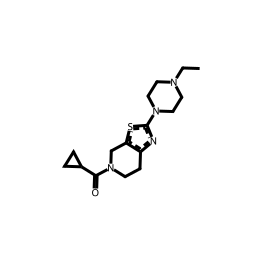 CCN1CCN(c2nc3c(s2)CN(C(=O)C2CC2)CC3)CC1